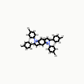 Cc1ccc(-c2cc3cc4c(cc(-c5ccc(C)cc5)n4-c4ccc(C)cc4)cc3n2-c2ccc(C)cc2)cc1